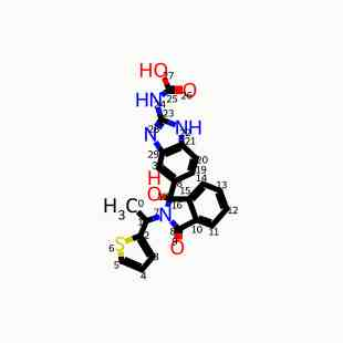 CC(c1cccs1)N1C(=O)c2ccccc2C1(O)c1ccc2[nH]c(NC(=O)O)nc2c1